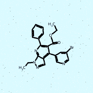 CCOC(=O)c1c(-c2ccccc2)nc2c(cnn2CC)c1-c1cncc(Br)c1